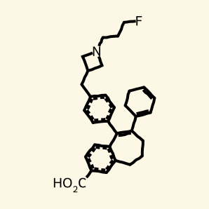 O=C(O)c1ccc2c(c1)CCCC(C1=CC=CCC1)=C2c1ccc(CC2CN(CCCF)C2)cc1